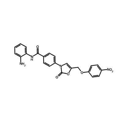 Nc1ccccc1NC(=O)c1ccc(-n2cc(COc3ccc([N+](=O)[O-])cc3)oc2=O)cc1